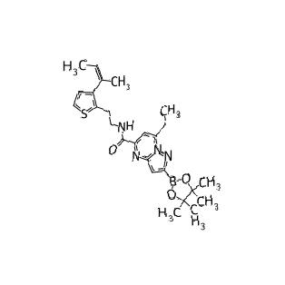 C/C=C(/C)c1ccsc1CCNC(=O)c1cc(CC)n2nc(B3OC(C)(C)C(C)(C)O3)cc2n1